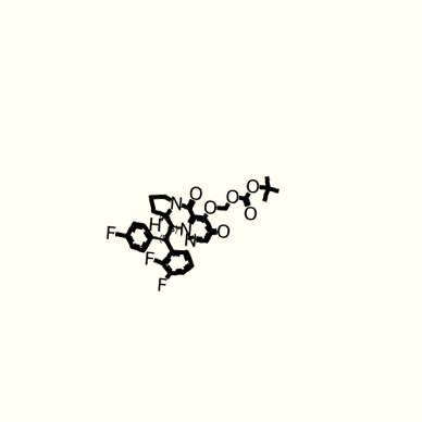 CC(C)(C)OC(=O)OCOc1c2n(ncc1=O)[C@@H]([C@H](c1ccc(F)cc1)c1cccc(F)c1F)[C@H]1CCCN1C2=O